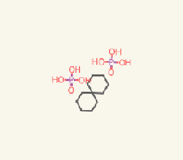 C1CCC2(CC1)CCCCC2.O=P(O)(O)O.O=P(O)(O)O